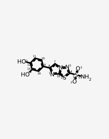 NS(=O)(=O)c1nn2cc(-c3ccc(O)c(O)c3)nc2s1